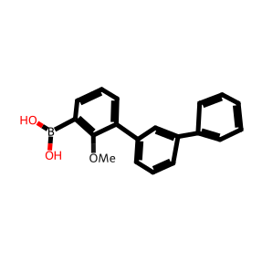 COc1c(B(O)O)cccc1-c1cccc(-c2ccccc2)c1